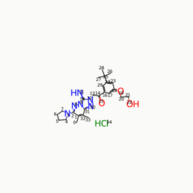 Cc1c(N2CCCC2)nn2c(=N)n(CC(=O)c3cc(OCCO)cc(C(C)(C)C)c3)nc2c1C.Cl